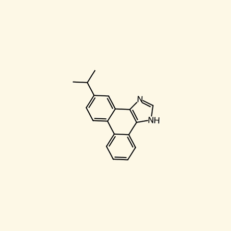 CC(C)c1ccc2c3ccccc3c3[nH]cnc3c2c1